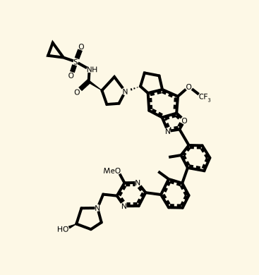 COc1nc(-c2cccc(-c3cccc(-c4nc5cc6c(c(OC(F)(F)F)c5o4)CC[C@H]6N4CC[C@@H](C(=O)NS(=O)(=O)C5CC5)C4)c3C)c2C)cnc1CN1CC[C@@H](O)C1